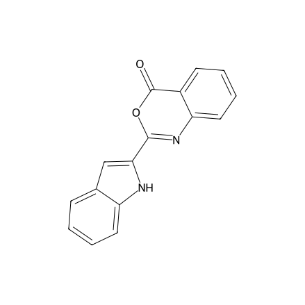 O=c1oc(-c2cc3ccccc3[nH]2)nc2ccccc12